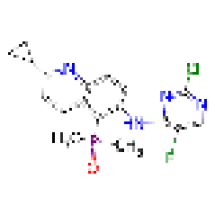 CP(C)(=O)c1c(Nc2nc(Cl)ncc2F)ccc2nc(C3CC3)ccc12